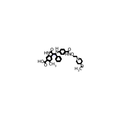 COC1CCN(CCONC(=O)c2ccc(N/C(=C3\C(=O)Nc4cc(C(=O)O)c(C)cc43)c3ccccc3)cc2)CC1